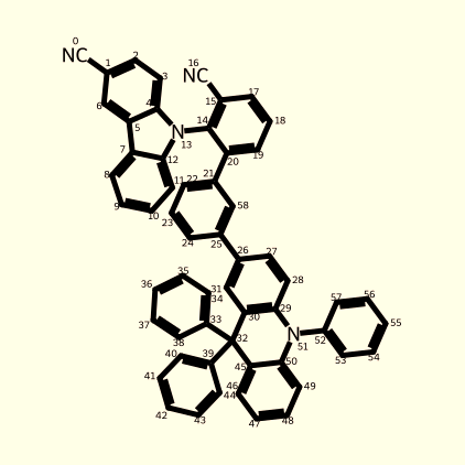 N#Cc1ccc2c(c1)c1ccccc1n2-c1c(C#N)cccc1-c1cccc(-c2ccc3c(c2)C(c2ccccc2)(c2ccccc2)c2ccccc2N3c2ccccc2)c1